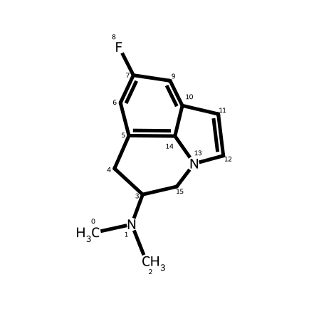 CN(C)C1Cc2cc(F)cc3ccn(c23)C1